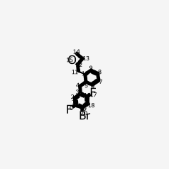 Fc1cc(CC2C=CC=C[C@@H]2CC2CCO2)c(F)cc1Br